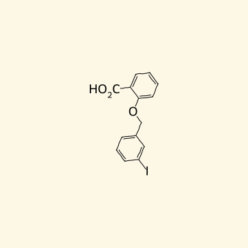 O=C(O)c1ccccc1OCc1cccc(I)c1